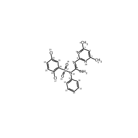 Cc1cc(C)nc(N=C(N)N(c2ccccc2)S(=O)(=O)c2cc(Cl)ccc2Cl)n1